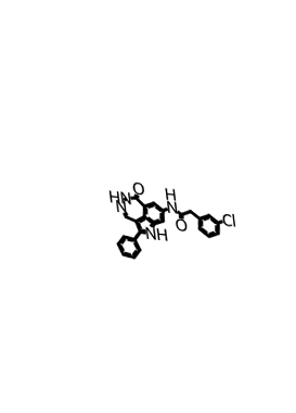 O=C(Cc1cccc(Cl)c1)Nc1cc2c3c(c(-c4ccccc4)[nH]c3c1)C=NNC2=O